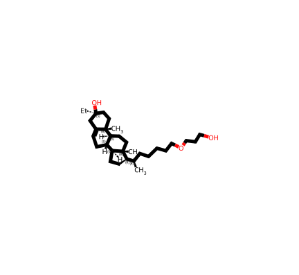 CC[C@]1(O)CC[C@@]2(C)C(=CC[C@H]3[C@@H]4CC[C@H]([C@H](C)CCCCCOCCCO)[C@@]4(C)CC[C@@H]32)C1